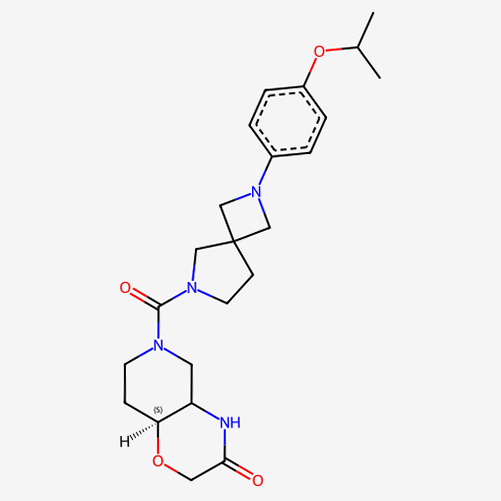 CC(C)Oc1ccc(N2CC3(CCN(C(=O)N4CC[C@@H]5OCC(=O)NC5C4)C3)C2)cc1